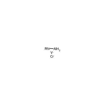 [AlH2][Mo].[Cr].[V]